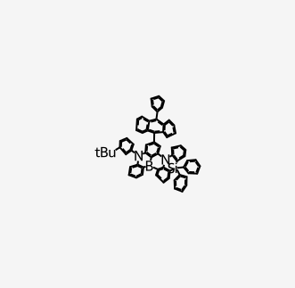 CC(C)(C)c1cccc(N2c3ccccc3B3c4cccc5c4N(c4ccccc4[Si]5(c4ccccc4)c4ccccc4)c4cc(-c5c6ccccc6c(-c6ccccc6)c6ccccc56)cc2c43)c1